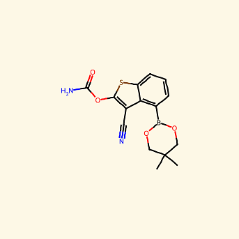 CC1(C)COB(c2cccc3sc(OC(N)=O)c(C#N)c23)OC1